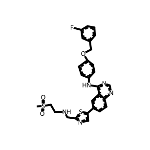 CS(=O)(=O)CCNCc1ncc(-c2ccc3ncnc(Nc4ccc(OCc5cccc(F)c5)cc4)c3c2)s1